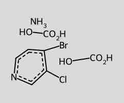 Clc1cnccc1Br.N.O=C(O)O.O=C(O)O